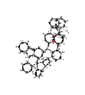 CC1(C)c2ccccc2-c2ccc(N(c3cc4c5c(c3)c3ccccc3n5-c3ccccc3C43c4ccccc4-c4ccccc43)c3ccccc3-c3ccc(-c4ccccc4)cc3)cc21